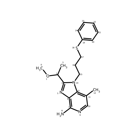 COC(C)c1nc2c(N)ncc(C)c2n1CCCSc1ccccc1